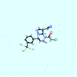 CC1C=C(c2cccc(C(F)(F)F)c2)n2ncc(C#N)c2N1C(=O)CCl